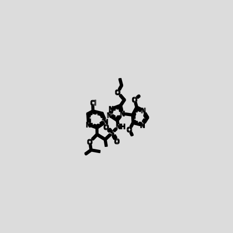 CCOCc1nnc(NS(=O)(=O)C(C)C(OC(C)C)c2ncc(Cl)cn2)n1-c1c(OC)ncnc1OC